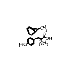 CC1c2ccccc21.N[C@H](Cc1ccc(O)cc1)C(=O)O